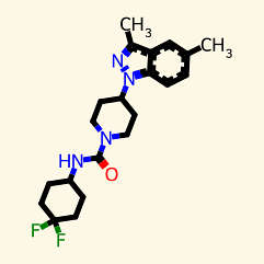 Cc1ccc2c(c1)c(C)nn2C1CCN(C(=O)NC2CCC(F)(F)CC2)CC1